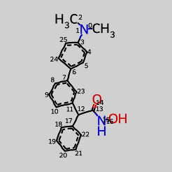 CN(C)c1ccc(-c2cccc(C(C(=O)NO)c3ccccc3)c2)cc1